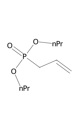 C=CCP(=O)(OCCC)OCCC